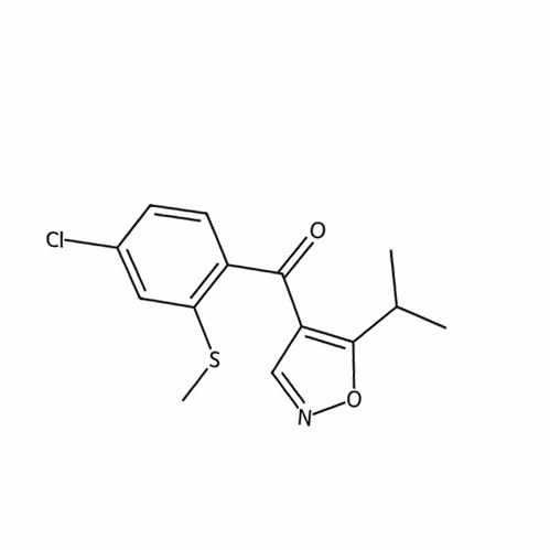 CSc1cc(Cl)ccc1C(=O)c1cnoc1C(C)C